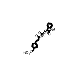 O=C(O)Cc1ccc(/C=C/C(=O)NC(=O)NN=C2C(=O)Nc3ccccc32)cc1